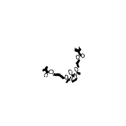 C=C(C)C(=O)OCCCOC(C)N1CCN(C(C)OCCCOC(=O)C(=C)C)C1=O